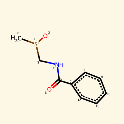 C[S+]([O-])CNC(=O)c1ccccc1